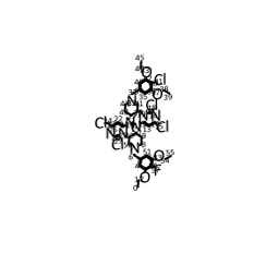 CCOc1cc(CN2CCC(N(c3cc(Cl)nc(Cl)n3)N(c3cc(Cl)nc(Cl)n3)C3CCN(Cc4cc(OCC)c(Cl)c(OCC)c4)CC3)CC2)cc(OCC)c1F